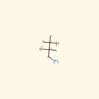 CCC(C)(C)C(C)(CC)CN